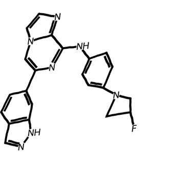 FC1CN(c2ccc(Nc3nc(-c4ccc5cn[nH]c5c4)cn4ccnc34)cc2)C1